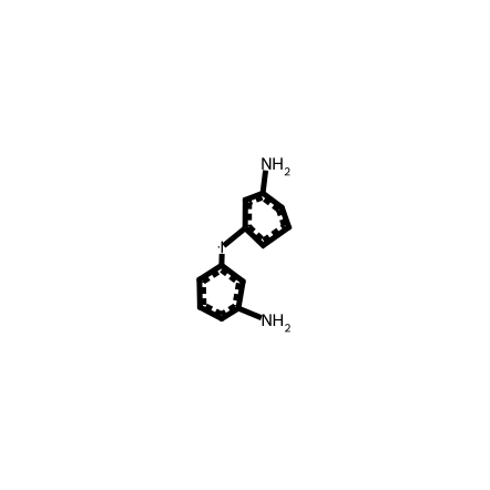 Nc1cccc([I]c2cccc(N)c2)c1